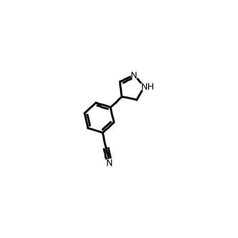 N#Cc1cccc(C2C=NNC2)c1